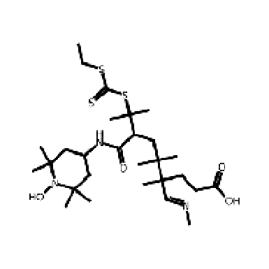 CCSC(=S)SC(C)(C)C(CC(C)(C)C(C)(/C=N/C)CCC(=O)O)C(=O)NC1CC(C)(C)N(O)C(C)(C)C1